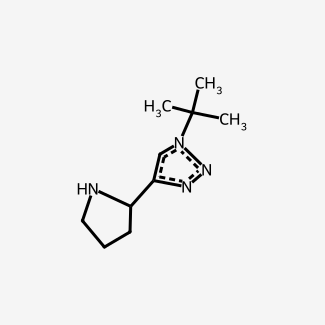 CC(C)(C)n1cc(C2CCCN2)nn1